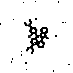 CCN(CC)c1ccc(C(c2ccc(N(CC)CC)cc2Cl)c2c(-c3ccccc3)n(C)c3ccccc23)cc1